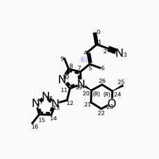 C=C(C#N)/C=C(\C)c1c(C)nc(Cn2cc(C)nn2)n1[C@@H]1CCO[C@H](C)C1